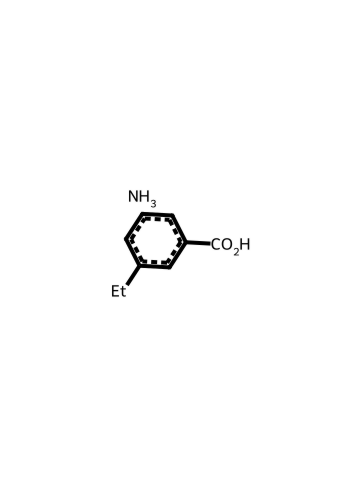 CCc1cccc(C(=O)O)c1.N